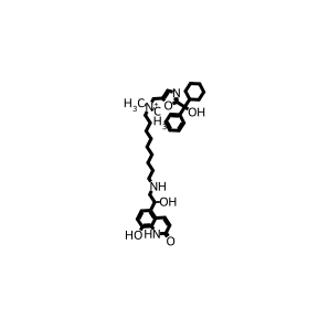 C[N+](C)(CCCCCCCCCNC[C@@H](O)c1ccc(O)c2[nH]c(=O)ccc12)Cc1cnc(C(O)(c2ccccc2)C2CCCCC2)o1